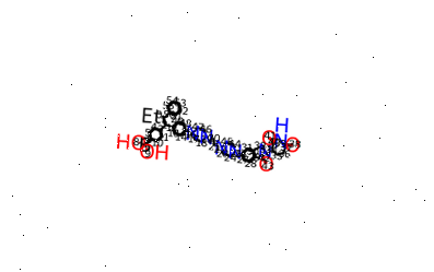 CC/C(=C(\c1ccc(B(O)O)cc1)c1ccc(N2CCN(CCN3CCN(c4ccc5c(c4)CN(C4CCC(=O)NC4=O)C5=O)CC3)CC2)cc1)c1ccccc1